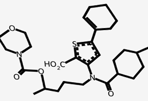 CC1CCC(C(=O)N(CCCC(C)OC(=O)N2CCOCC2)c2cc(C3=CCCCC3)sc2C(=O)O)CC1